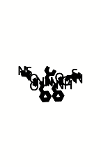 CCC(CC)CN(C[C@H](Cc1ccccc1)NC(=O)OCc1cncs1)C[C@H](Cc1ccccc1)NC(=O)OCc1cncs1